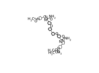 C=CC(=O)N1CCC(C2CCn3c2nc(-c2ccc(Oc4cccc(-c5cccc(Oc6ccc(-c7nc8n(c7C(N)=O)CCC8C7CCN(C(=O)OC(C)(C)C)CC7)cc6)c5)c4)cc2)c3C(N)=O)CC1